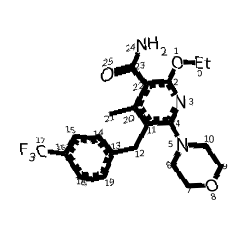 CCOc1nc(N2CCOCC2)c(Cc2ccc(C(F)(F)F)cc2)c(C)c1C(N)=O